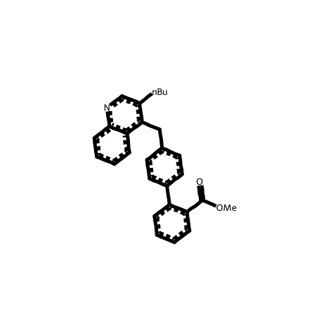 CCCCc1cnc2ccccc2c1Cc1ccc(-c2ccccc2C(=O)OC)cc1